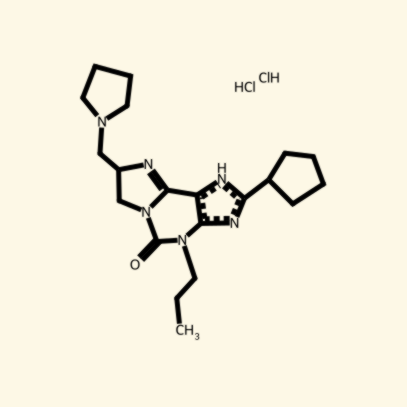 CCCN1C(=O)N2CC(CN3CCCC3)N=C2c2[nH]c(C3CCCC3)nc21.Cl.Cl